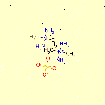 C[N+](C)(N)N.C[N+](C)(N)N.O=S(=O)([O-])[O-]